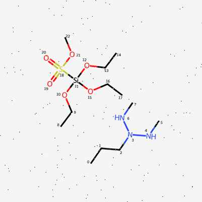 CCCN(NC)NC.CCO[Si](OCC)(OCC)S(=O)(=O)OC